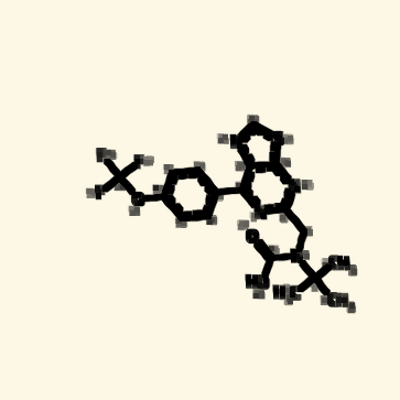 CC(C)(C)N(Cc1nc(-c2ccc(OC(F)(F)F)cc2)c2ncsc2n1)C(=O)O